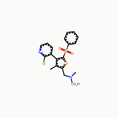 Cc1c(CN(C)C(=O)O)sc(S(=O)(=O)c2ccccc2)c1-c1cccnc1Cl